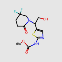 CC(C)(C)OC(=O)Nc1ncc(C(CO)N2CC(F)(F)CCC2=O)s1